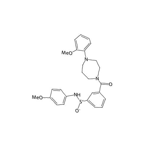 COc1ccc(N[S+]([O-])c2cccc(C(=O)N3CCCN(c4ccccc4OC)CC3)c2)cc1